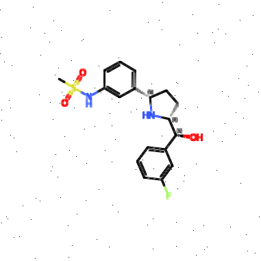 CS(=O)(=O)Nc1cccc([C@@H]2CC[C@H]([C@@H](O)c3cccc(F)c3)N2)c1